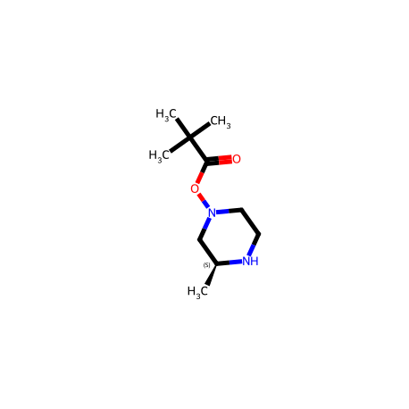 C[C@H]1CN(OC(=O)C(C)(C)C)CCN1